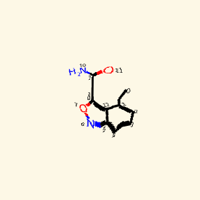 Cc1cccc2noc(C(N)=O)c12